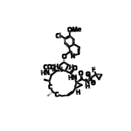 COc1cc2ccnc(O[C@@H]3C[C@H]4C(=O)N[C@]5(C(=O)NS(=O)(=O)C6(F)CC6)C[C@H]5/C=C\CC[C@H](C)C[C@@H](C)[C@H](NC(=O)O)C(=O)N4C3)c2cc1Cl